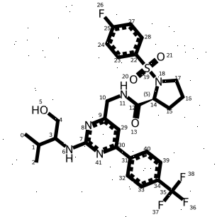 CC(C)C(CO)Nc1nc(CNC(=O)[C@@H]2CCCN2S(=O)(=O)c2ccc(F)cc2)cc(-c2ccc(C(F)(F)F)cc2)n1